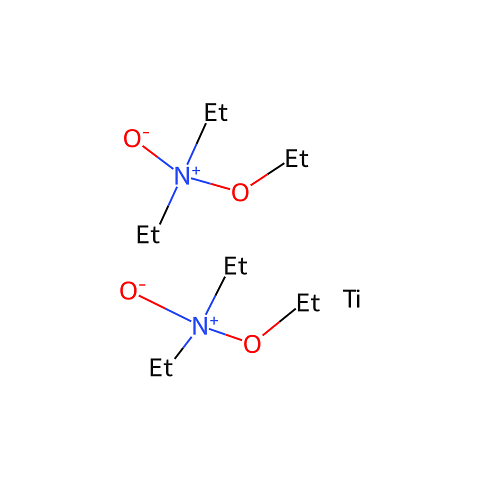 CCO[N+]([O-])(CC)CC.CCO[N+]([O-])(CC)CC.[Ti]